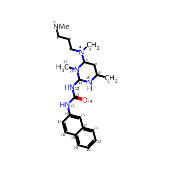 CNCCCN(C)C1CC(C)NC(NC(=O)Nc2ccc3ccccc3c2)N1C